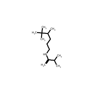 C=C(NCCCC(C)C(C)(C)C)C(C)C